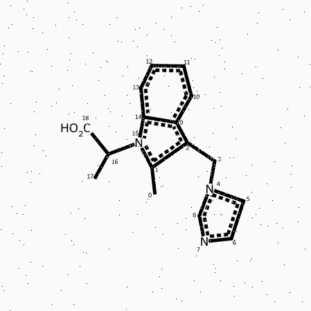 Cc1c(Cn2ccnc2)c2ccccc2n1C(C)C(=O)O